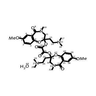 COc1ccc2c(c1)C(=O)N(C)CC(CCN(C)C)(OC(=O)C(=O)OC1(CCN(C)C)CN(C)C(=O)c3cc(OC)ccc3O1)O2.O